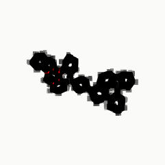 c1ccc(N(c2ccc(-c3ccc(-c4ccccc4-n4c5ccccc5c5ccccc54)cc3)cc2)c2cccc3ccccc23)c(-c2cccc3c2sc2ccccc23)c1